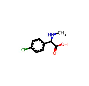 CNC(C(=O)O)c1ccc(Cl)cc1